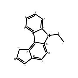 CCn1c2ccccc2c2c3c(ccc21)C=CC3